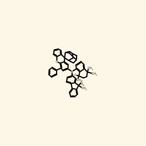 CC1(C)CCC(C)(C)c2c(N(c3ccc4c(c3)C(C)(C)c3ccccc3-4)c3cc(-c4ccccc4)c4c(c3)C3(c5ccccc5O4)C4CC5CC(C4)CC3C5)cccc21